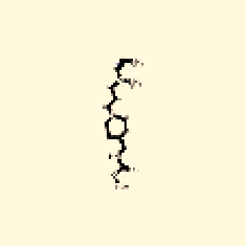 CC(C)(C)OC(=O)NCC1CCN(CCCN(N)/C=C\N)CC1